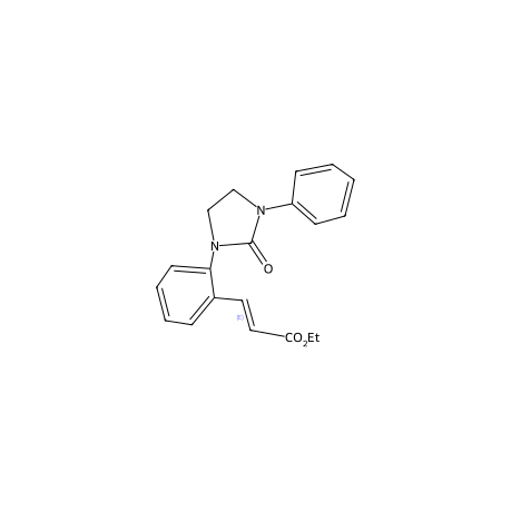 CCOC(=O)/C=C/c1ccccc1N1CCN(c2ccccc2)C1=O